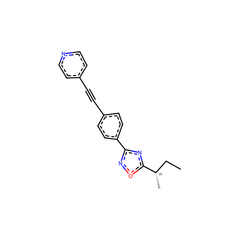 CC[C@H](C)c1nc(-c2ccc(C#Cc3ccncc3)cc2)no1